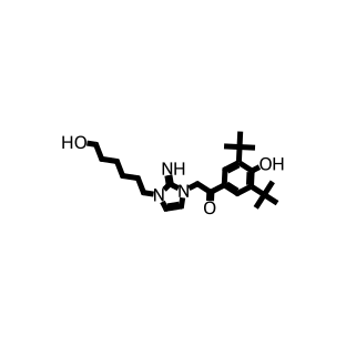 CC(C)(C)c1cc(C(=O)Cn2ccn(CCCCCCO)c2=N)cc(C(C)(C)C)c1O